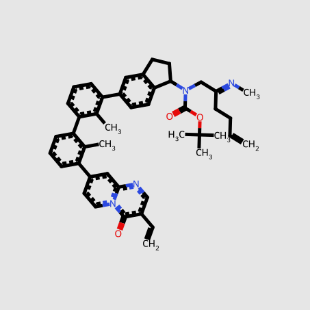 C=CCC/C(CN(C(=O)OC(C)(C)C)C1CCc2cc(-c3cccc(-c4cccc(-c5ccn6c(=O)c(C=C)cnc6c5)c4C)c3C)ccc21)=N\C